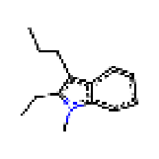 CCCc1c(CC)n(C)c2ccccc12